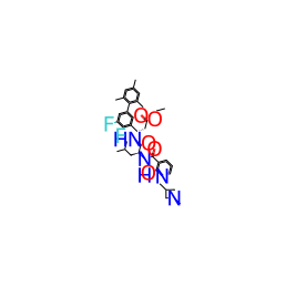 CCOC(=O)C[C@H](NC(=O)[C@H](CC(C)C)NC(=O)c1cccn(CC2CN(C)C2)c1=O)c1cc(-c2c(C)cc(C)cc2C)cc(F)c1F